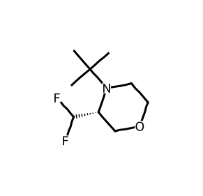 CC(C)(C)N1CCOC[C@@H]1C(F)F